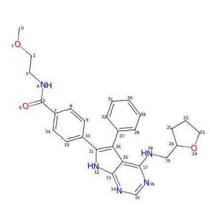 COCCNC(=O)c1ccc(-c2[nH]c3ncnc(NCC4CCCO4)c3c2-c2ccccc2)cc1